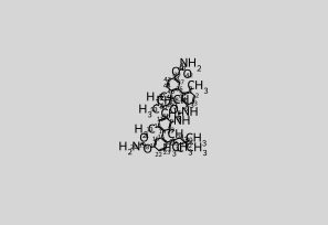 Cc1ccc(NC(=O)Nc2ccc(C)c(-c3cc(OC(N)=O)ccc3C(C)(C)CC(C)(C)C)c2)cc1-c1cc(OC(N)=O)ccc1C(C)(C)CC(C)(C)C